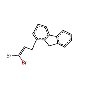 BrC(Br)=CCc1cccc2c1Cc1ccccc1-2